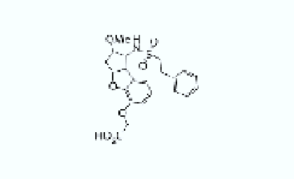 COC1CC2Oc3c(OCC(=O)O)cccc3C2C1NS(=O)(=O)CCc1ccccc1